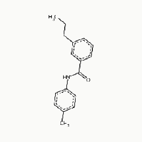 CCCc1cccc(C(=O)Nc2ccc(C)cc2)c1